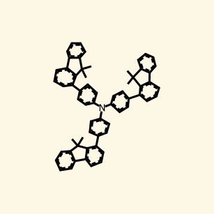 CC1(C)c2ccccc2-c2cccc(-c3ccc(N(c4ccc(-c5cccc6c5C(C)(C)c5ccccc5-6)cc4)c4ccc(-c5cccc6c5C(C)(C)c5ccccc5-6)cc4)cc3)c21